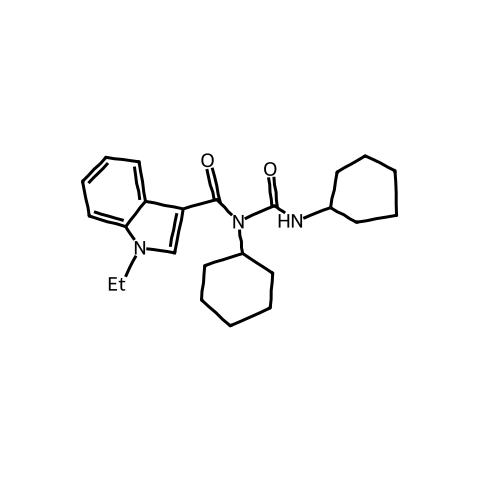 CCn1cc(C(=O)N(C(=O)NC2CCCCC2)C2CCCCC2)c2ccccc21